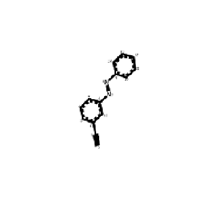 C#Cc1cccc(/N=N/c2ccccc2)c1